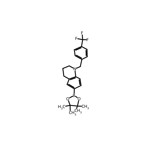 CC1(C)OB(c2ccc3c(c2)CCCN3Cc2ccc(C(F)(F)F)cc2)OC1(C)C